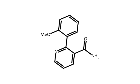 COc1ccccc1-c1ncccc1C(N)=O